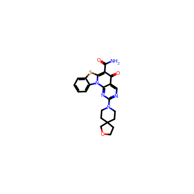 NC(=O)c1c(=O)c2cnc(N3CCC4(CCOC4)CC3)nc2n2c1sc1ccccc12